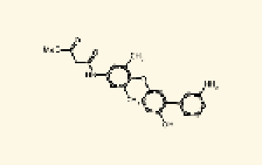 COC(=O)CC(=O)Nc1cc(C)c(Oc2ccc(O)c(-c3cccc(N)c3)c2)c(C)c1